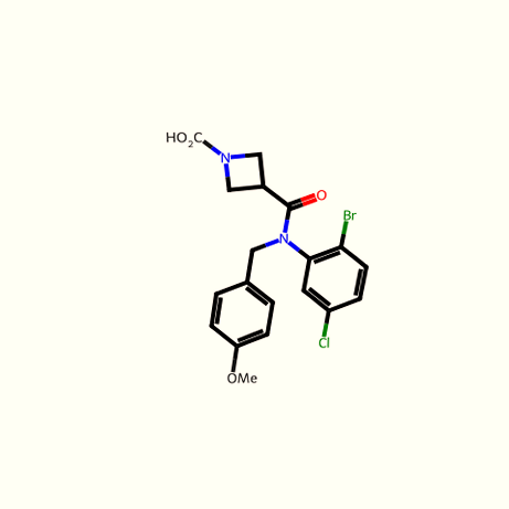 COc1ccc(CN(C(=O)C2CN(C(=O)O)C2)c2cc(Cl)ccc2Br)cc1